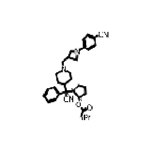 CCCC(=O)O[C@H]1CCC[C@@H]1[C@](C#N)(c1ccccc1)C1CCN(CC2CN(c3ccc(C#N)cc3)C2)CC1